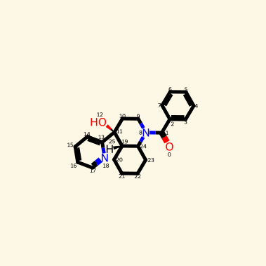 O=C(c1ccccc1)N1CC[C@@](O)(c2ccccn2)[C@H]2CCCCC21